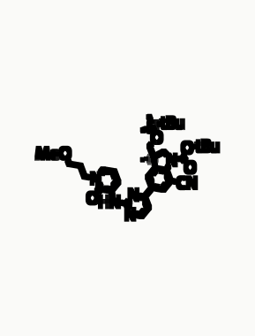 COCCCn1cccc(Nc2nccc(-c3cc(C#N)c4c(c3)[C@@](C)(CO[Si](C)(C)C(C)(C)C)CN4C(=O)OC(C)(C)C)n2)c1=O